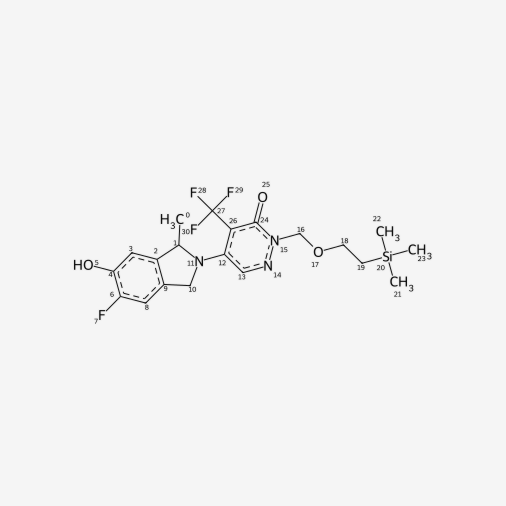 CC1c2cc(O)c(F)cc2CN1c1cnn(COCC[Si](C)(C)C)c(=O)c1C(F)(F)F